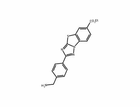 CCOC(=O)c1ccc2c(c1)sc1nc(-c3ccc(CN)cc3)nn12